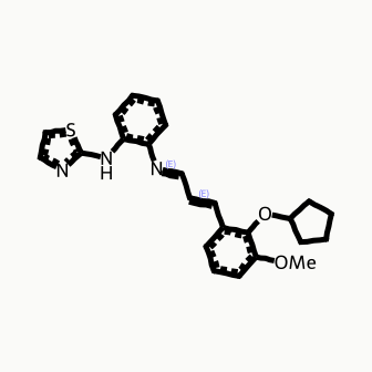 COc1cccc(/C=C/C=N/c2ccccc2Nc2nccs2)c1OC1CCCC1